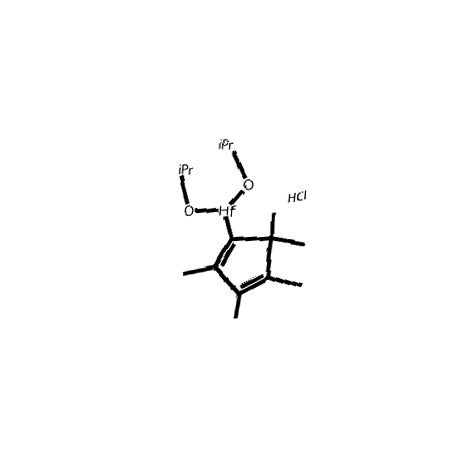 CC1=C(C)C(C)(C)[C]([Hf]([O]C(C)C)[O]C(C)C)=C1C.Cl